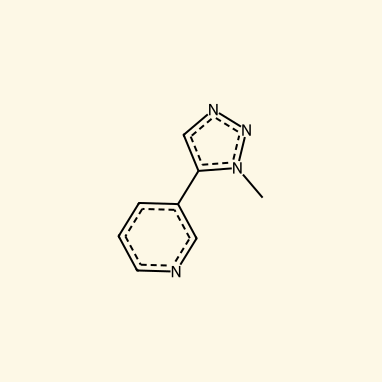 Cn1nncc1-c1cccnc1